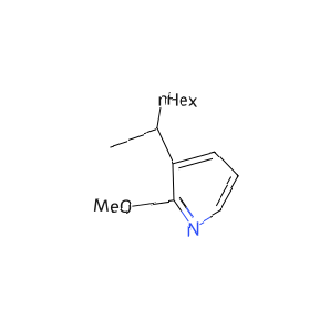 CCCCCCC(C)c1cccnc1OC